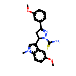 COc1cccc(C2=NN(C(N)=S)C(c3cn(C)c4ccc(OC)cc34)C2)c1